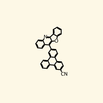 N#Cc1ccc2c3ccc(-c4c5ccccc5nc5c4oc4ccccc45)cc3c3ccccc3c2c1